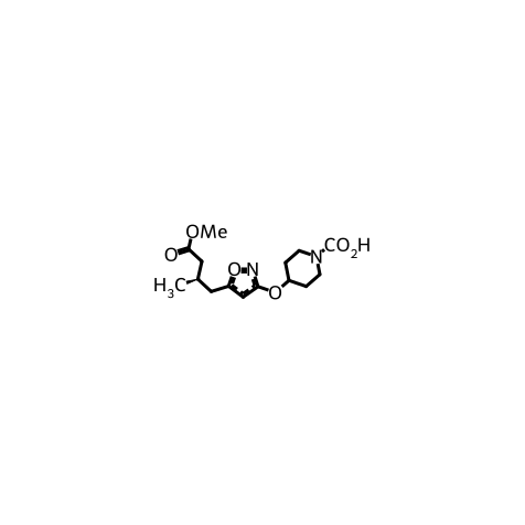 COC(=O)C[C@H](C)Cc1cc(OC2CCN(C(=O)O)CC2)no1